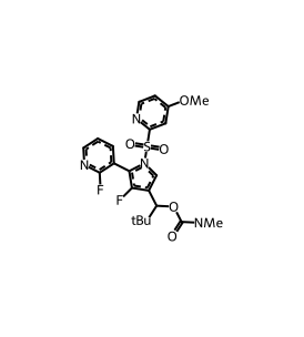 CNC(=O)OC(c1cn(S(=O)(=O)c2cc(OC)ccn2)c(-c2cccnc2F)c1F)C(C)(C)C